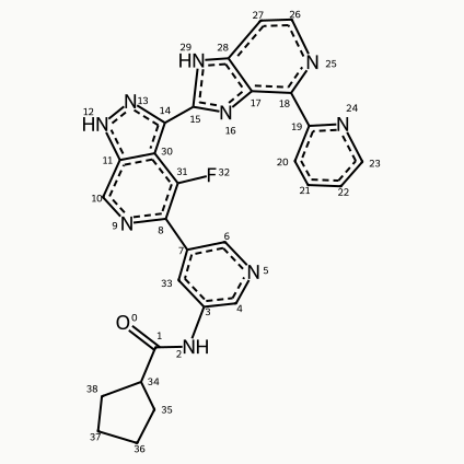 O=C(Nc1cncc(-c2ncc3[nH]nc(-c4nc5c(-c6ccccn6)nccc5[nH]4)c3c2F)c1)C1CCCC1